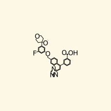 COC1(c2cc(F)cc(OCc3ccc4c(-c5cccc(C(=O)O)c5)cc5nncn5c4c3)c2)CCOCC1